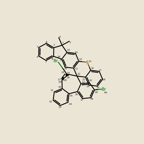 CC1(C)c2ccccc2-c2cc3c(cc21)Sc1ccccc1C31c2cc(Br)ccc2-c2ccccc2-c2ccc(Br)cc21